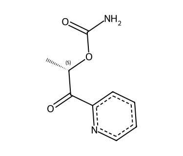 C[C@H](OC(N)=O)C(=O)c1ccccn1